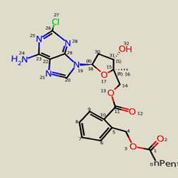 CCCCCC(=O)OCc1ccccc1C(=O)OC[C@@]1(C)O[C@@H](n2cnc3c(N)nc(Cl)nc32)C[C@@H]1O